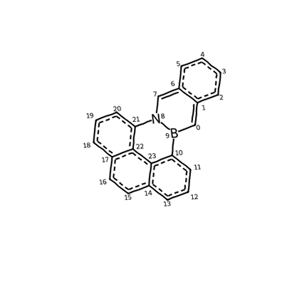 C1=c2ccccc2=CN2B1c1cccc3ccc4cccc2c4c13